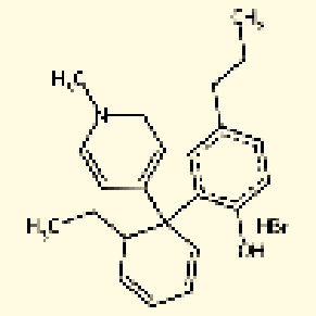 Br.CCCc1ccc(O)c(C2(C3=CCN(C)C=C3)C=CC=CC2CC)c1